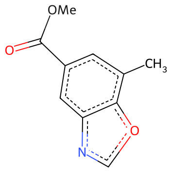 COC(=O)c1cc(C)c2ocnc2c1